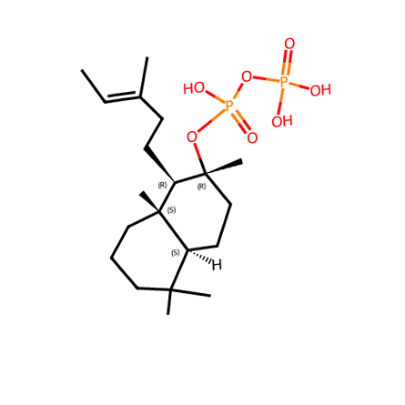 CC=C(C)CC[C@@H]1[C@@]2(C)CCCC(C)(C)[C@@H]2CC[C@@]1(C)OP(=O)(O)OP(=O)(O)O